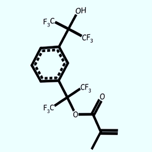 C=C(C)C(=O)OC(c1cccc(C(O)(C(F)(F)F)C(F)(F)F)c1)(C(F)(F)F)C(F)(F)F